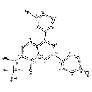 C[C@@H](n1cnc2c(-c3cccc(F)c3)nc(-c3ccc(Cl)cc3)cc2c1=O)C(C)(C)O